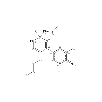 CCCCC1=CNC(C)(NSC)N=C1c1cc(C)c(=O)n(C)c1